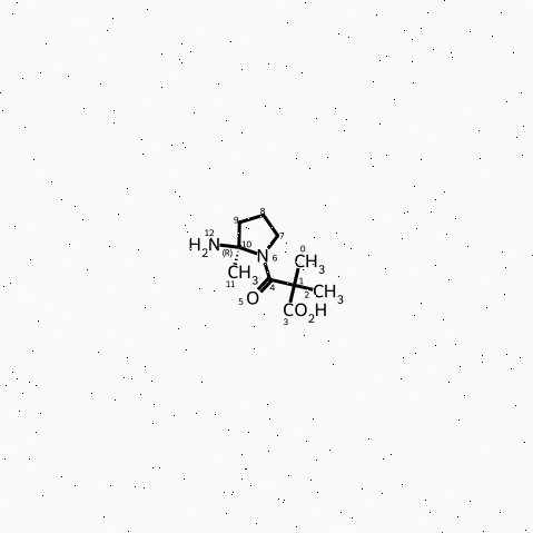 CC(C)(C(=O)O)C(=O)N1CCC[C@]1(C)N